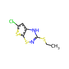 CCSC1=NSc2sc(Cl)cc2N1